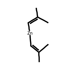 CC(C)=[CH][Zn][CH]=C(C)C